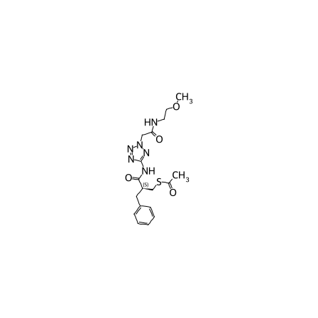 COCCNC(=O)Cn1nnc(NC(=O)[C@@H](CSC(C)=O)Cc2ccccc2)n1